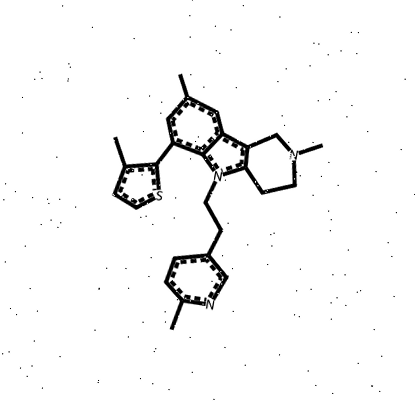 Cc1cc(-c2sccc2C)c2c(c1)c1c(n2CCc2ccc(C)nc2)CCN(C)C1